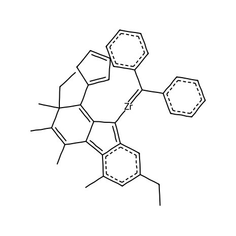 CCc1cc(C)c2c(c1)=[C]([Zr]=[C](c1ccccc1)c1ccccc1)C1=C(C3=CC=CC3)C(C)(CC)C(C)=C(C)C=21